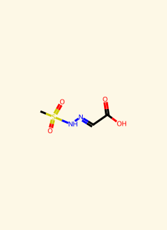 CS(=O)(=O)NN=CC(=O)O